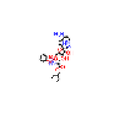 CCC(CC)COC(=O)[C@H](C)NP(=O)(OC[C@H]1O[C@@](C#N)(c2ccc3c(N)ccnn23)[C@H](O)[C@@H]1O)Oc1ccccc1